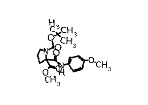 COC(=O)C1(C(=O)Nc2ccc(OC)cc2)CCCN1C(=O)OC(C)(C)C